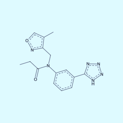 CCC(=O)N(Cc1nocc1C)c1cccc(-c2nnn[nH]2)c1